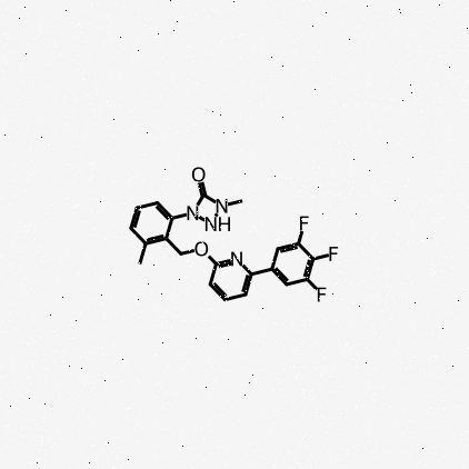 Cc1cccc(-n2[nH]n(C)c2=O)c1COc1cccc(-c2cc(F)c(F)c(F)c2)n1